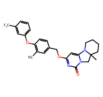 CC12CCCCN1c1cc(OCc3ccc(Oc4cccc(C(F)(F)F)c4)c(C#N)c3)nc(=O)n1C2